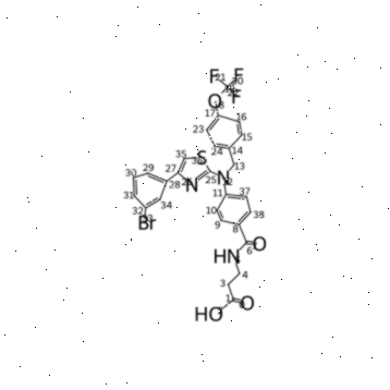 O=C(O)CCNC(=O)c1ccc(N(Cc2ccc(OC(F)(F)F)cc2)c2nc(-c3cccc(Br)c3)cs2)cc1